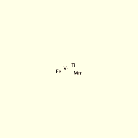 [Fe].[Mn].[Ti].[V]